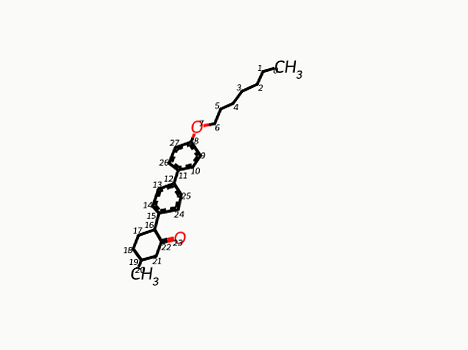 CCCCCCCOc1ccc(-c2ccc(C3CCC(C)CC3=O)cc2)cc1